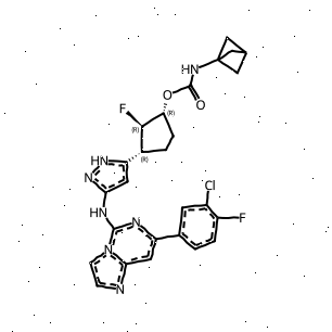 O=C(NC12CC(C1)C2)O[C@@H]1CC[C@H](c2cc(Nc3nc(-c4ccc(F)c(Cl)c4)cc4nccn34)n[nH]2)[C@H]1F